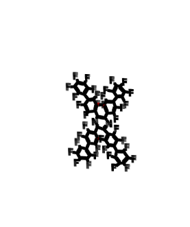 Fc1c(F)c(F)c(-c2c(F)c(F)c(-c3nc(-c4c(F)c(F)c(-c5c(F)c(F)c(F)c(F)c5F)c(F)c4F)c(-c4c(F)c(F)c(-c5c(F)c(F)c(F)c(F)c5F)c(F)c4F)nc3-c3c(F)c(F)c(-c4c(F)c(F)c(F)c(F)c4F)c(F)c3F)c(F)c2F)c(F)c1F